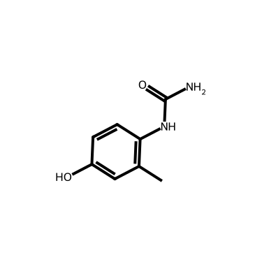 Cc1cc(O)ccc1NC(N)=O